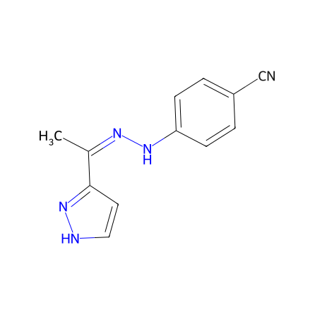 CC(=NNc1ccc(C#N)cc1)c1cc[nH]n1